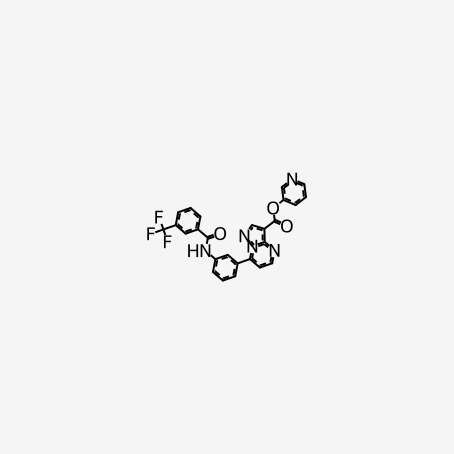 O=C(Nc1cccc(-c2ccnc3c(C(=O)Oc4cccnc4)cnn23)c1)c1cccc(C(F)(F)F)c1